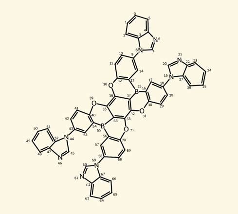 c1ccc2c(c1)ncn2-c1ccc2c(c1)B1c3cc(-n4cnc5ccccc54)ccc3Oc3c4c5c(c(c31)O2)Oc1ccc(-n2cnc3ccccc32)cc1B5c1cc(-n2cnc3ccccc32)ccc1O4